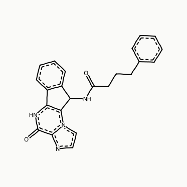 O=C(CCCc1ccccc1)NC1c2ccccc2-c2[nH]c(=O)c3nccn3c21